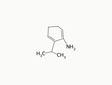 CC(C)C1=CCCC=C1N